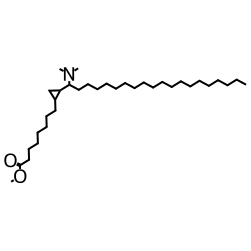 CCCCCCCCCCCCCCCCCCCC(C1CC1CCCCCCCC(=O)OC)N(C)C